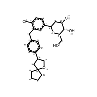 OC[C@H]1OC(c2ccc(Cl)c(Cc3ccc(C4COC5(CCCC5)C4)cc3)c2)C[C@@H](O)[C@@H]1O